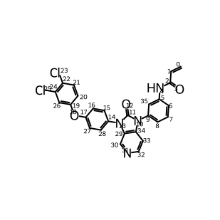 C=CC(=O)Nc1cccc(-n2c(=O)n(-c3ccc(Oc4ccc(Cl)c(Cl)c4)cc3)c3cnccc32)c1